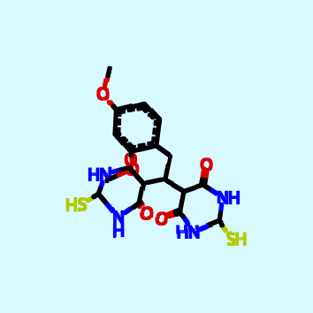 COc1ccc(CC(C2C(=O)NC(S)NC2=O)C2C(=O)NC(S)NC2=O)c(OC)c1